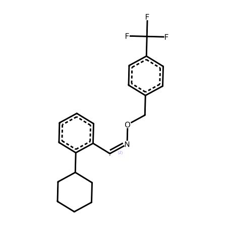 FC(F)(F)c1ccc(CO/N=[C]\c2ccccc2C2CCCCC2)cc1